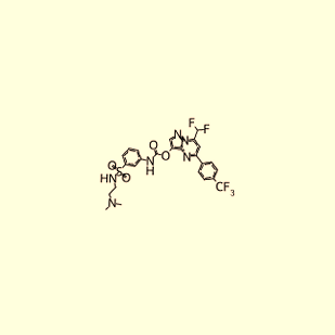 CN(C)CCNS(=O)(=O)c1cccc(NC(=O)Oc2cnn3c(C(F)F)cc(-c4ccc(C(F)(F)F)cc4)nc23)c1